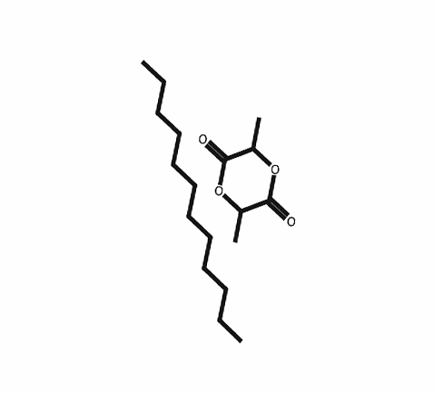 CC1OC(=O)C(C)OC1=O.CCCCCCCCCCCC